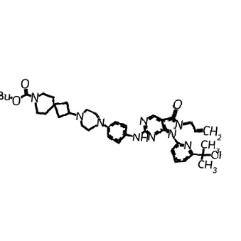 C=CCn1c(=O)c2cnc(Nc3ccc(N4CCN(C5CC6(CCN(C(=O)OC(C)(C)C)CC6)C5)CC4)cc3)nc2n1-c1cccc(C(C)(C)O)n1